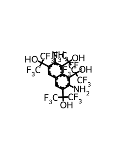 Nc1c(C(O)(C(F)(F)F)C(F)(F)F)cc2cc(C(O)(C(F)(F)F)C(F)(F)F)c(N)c(C(O)(C(F)(F)F)C(F)(F)F)c2c1C(O)(C(F)(F)F)C(F)(F)F